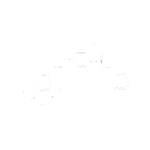 CC1(C)CCC(C)(C)c2cc(CC(=O)Oc3ccc(C(=O)OCc4ccccc4)c(O)c3)ccc21